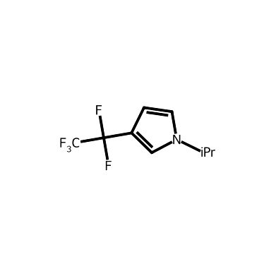 CC(C)n1ccc(C(F)(F)C(F)(F)F)c1